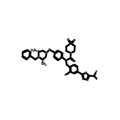 C[C@@H]1CN(Oc2ccc(N(Cc3ccc(-c4nnc(C(F)F)o4)cc3F)C(=O)N3CCS(=O)(=O)CC3)cc2)C[C@H](C)N1Cc1ccccc1